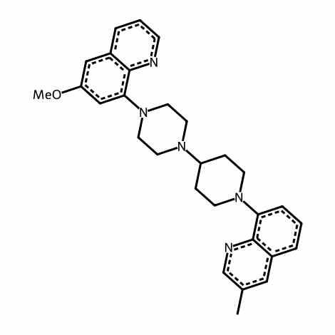 COc1cc(N2CCN(C3CCN(c4cccc5cc(C)cnc45)CC3)CC2)c2ncccc2c1